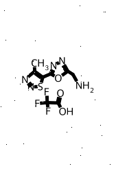 Cc1nnsc1-c1nnc(CN)o1.O=C(O)C(F)(F)F